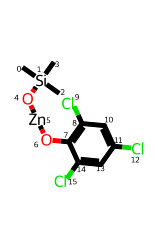 C[Si](C)(C)[O][Zn][O]c1c(Cl)cc(Cl)cc1Cl